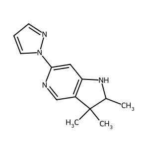 CC1Nc2cc(-n3cccn3)ncc2C1(C)C